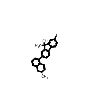 C[C@H]1C=Cc2c(cccc2-c2ccc3c(c2)C(C)(C)c2cc(I)ccc2-3)C1